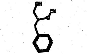 N#COC(CO)Cc1ccccc1